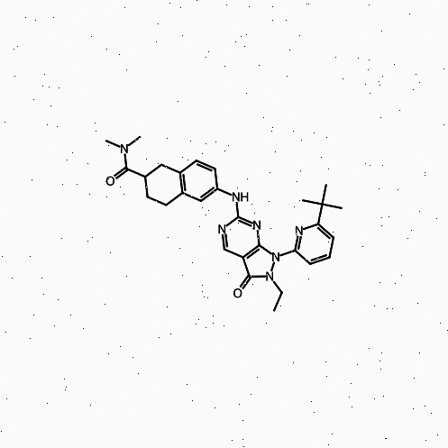 CCn1c(=O)c2cnc(Nc3ccc4c(c3)CCC(C(=O)N(C)C)C4)nc2n1-c1cccc(C(C)(C)C)n1